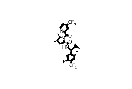 C[C@@H]1C[C@H](C(=O)NC(c2cc(F)c(C(F)(F)F)cc2F)C2CC2)N(C(=O)c2cc(C(F)(F)F)ccn2)[C@@H]1C